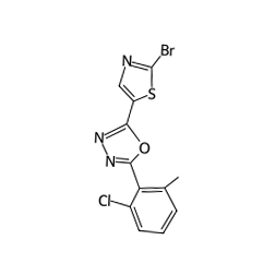 Cc1cccc(Cl)c1-c1nnc(-c2cnc(Br)s2)o1